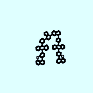 c1cc(-c2ccc(-c3ccc4cccc(-c5ccc(-c6c7ccccc7c(-c7ccc8c(c7)Oc7cccc9cccc-8c79)c7ccccc67)cc5)c4c3)c3ccccc23)cc(-c2c3ccccc3c(-c3ccc4c(c3)Oc3cccc5cccc-4c35)c3ccccc23)c1